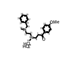 COc1ccc(C(=O)CCN(C)CCN(C)Cc2ccccc2)cc1.Cl.Cl